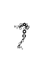 NCCOCCOCCN1CCN([C@H]2CC[C@H](Oc3ncnc4sc5c(c34)[C@@H](C[C@@H](O)C(N)=O)CC5)CC2)CC1